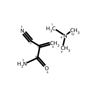 C=C(C#N)C(N)=O.CN(C)C